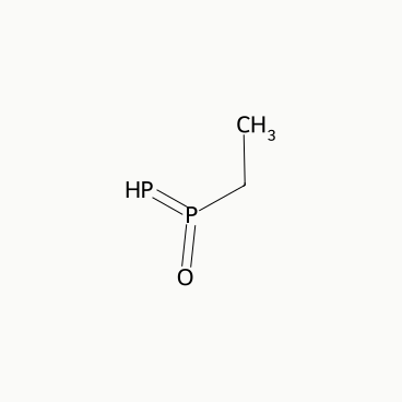 CCP(=O)=P